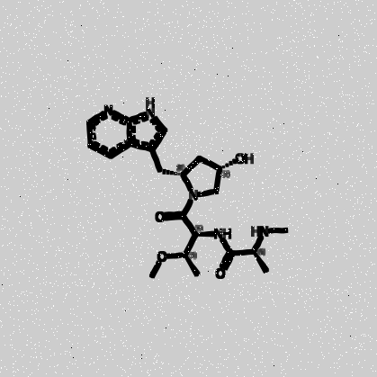 CN[C@@H](C)C(=O)N[C@H](C(=O)N1C[C@@H](O)C[C@H]1Cc1c[nH]c2ncccc12)[C@@H](C)OC